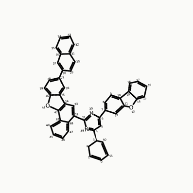 C1=CC[C@@H](c2cc(-c3ccc4c(c3)oc3ccccc34)nc(-c3cc4c5cc(-c6ccc7ccccc7c6)ccc5oc4c4ccccc34)n2)C=C1